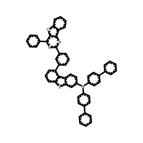 c1ccc(-c2ccc(N(c3ccc(-c4ccccc4)cc3)c3ccc4c(c3)sc3cccc(-c5cccc(-c6nc(-c7ccccc7)c7oc8ccccc8c7n6)c5)c34)cc2)cc1